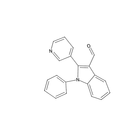 O=Cc1c(-c2cccnc2)n(-c2ccccc2)c2ccccc12